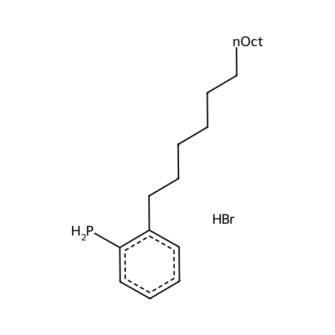 Br.CCCCCCCCCCCCCCc1ccccc1P